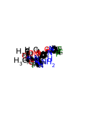 CCOc1cc(C(=O)Nc2cc(C(F)(F)F)ccn2)ccc1-c1nc([C@H]2CN(C(=O)C(C)O)[C@@H](C)CO2)n2c(F)cnc(N)c12